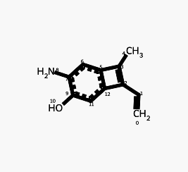 C=CC1=C(C)c2cc(N)c(O)cc21